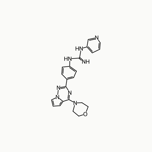 N=C(Nc1ccc(-c2nc(N3CCOCC3)c3cccn3n2)cc1)Nc1cccnc1